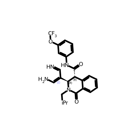 CC(C)CN1C(=O)c2ccccc2[C@@H](C(=O)Nc2cccc(OC(F)(F)F)c2)[C@@H]1/C(C=N)=C/N